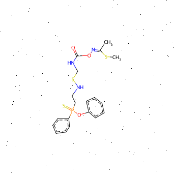 CSC(C)=NOC(=O)NCSNCCP(=S)(Oc1ccccc1)c1ccccc1